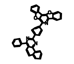 c1ccc(-c2nc(-c3ccc(-c4nc5c6ccccc6oc5c5c4oc4ccccc45)cc3)nc3c2ccc2ccccc23)cc1